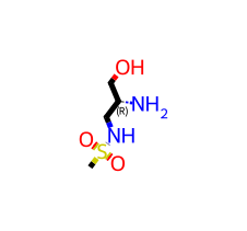 CS(=O)(=O)NC[C@@H](N)CO